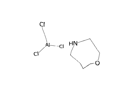 C1COCCN1.[Cl][Al]([Cl])[Cl]